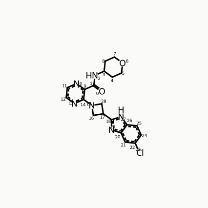 O=C(NC1CCOCC1)c1nccnc1N1CC(c2nc3cc(Cl)ccc3[nH]2)C1